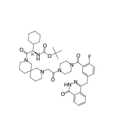 CC(C)(C)OC(=O)N[C@@H](C(=O)N1CCCC2(CCCN(CC(=O)N3CCN(C(=O)c4cc(Cc5n[nH]c(=O)c6ccccc56)ccc4F)CC3)C2)C1)C1CCCCC1